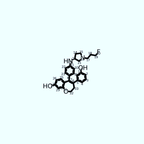 Oc1cccc(C2=C(c3ccc(N[C@H]4CCN(CCCF)C4)cc3)c3ccc(O)cc3OCC2)c1